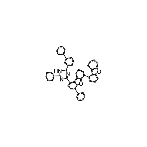 c1ccc(C2=NC(c3ccc(-c4ccccc4)c4oc5c(-c6cccc7oc8ccccc8c67)cccc5c34)=NC(c3cccc(-c4ccccc4)c3)N2)cc1